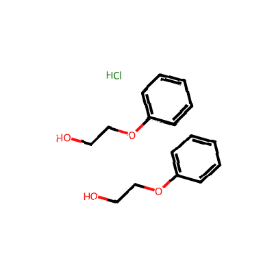 Cl.OCCOc1ccccc1.OCCOc1ccccc1